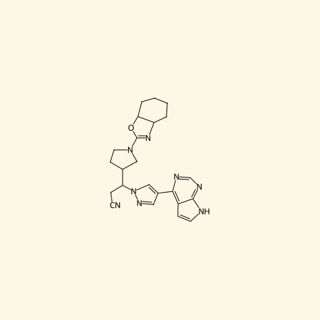 N#CCC(C1CCN(C2=NC3CCCCC3O2)C1)n1cc(-c2ncnc3[nH]ccc23)cn1